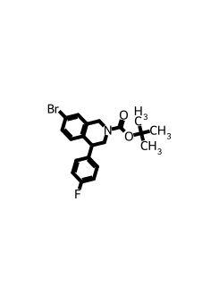 CC(C)(C)OC(=O)N1Cc2cc(Br)ccc2C(c2ccc(F)cc2)C1